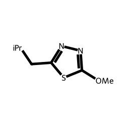 COc1nnc(CC(C)C)s1